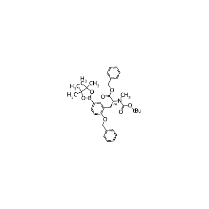 CN(C(=O)OC(C)(C)C)[C@@H](Cc1cc(B2OC(C)(C)C(C)(C)O2)ccc1OCc1ccccc1)C(=O)OCc1ccccc1